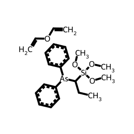 C=COC=C.CCC([As](c1ccccc1)c1ccccc1)[Si](OC)(OC)OC